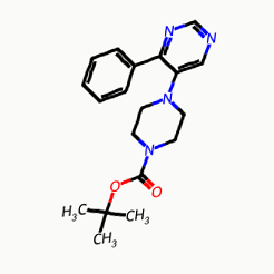 CC(C)(C)OC(=O)N1CCN(c2cncnc2-c2ccccc2)CC1